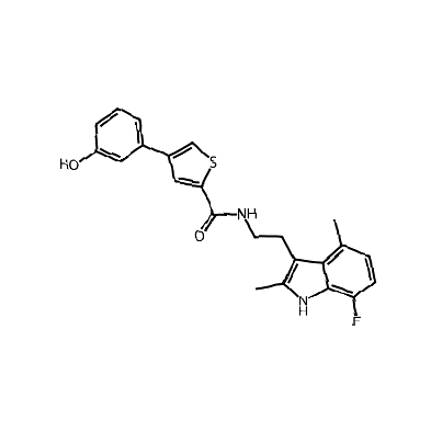 Cc1[nH]c2c(F)ccc(C)c2c1CCNC(=O)c1cc(-c2cccc(O)c2)cs1